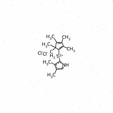 CC1=C(C)C(C)(C)[C]([Ti+2][c]2[nH]cc(C)c2C)=C1C.[Cl-].[Cl-]